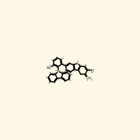 C=C1Cc2c(sc3cc(-c4cccc(C#N)c4-n4c5ccccc5c5ccccc54)ccc23)C=C1CC